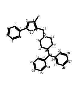 Cc1cc(-c2ccccc2)oc1CN1CCC(C(c2ccccc2)c2ccccc2)CC1